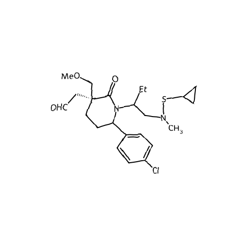 CCC(CN(C)SC1CC1)N1C(=O)[C@](CC=O)(COC)CCC1c1ccc(Cl)cc1